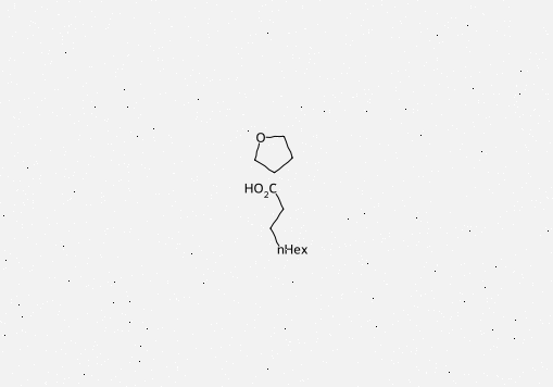 C1CCOC1.CCCCCCCCC(=O)O